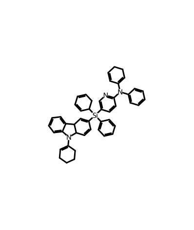 C1=CCC([Si](C2=CC3c4ccccc4N(C4=CCCCC4)C3C=C2)(c2ccccc2)c2ccc(N(C3=CCCC=C3)c3ccccc3)nc2)C=C1